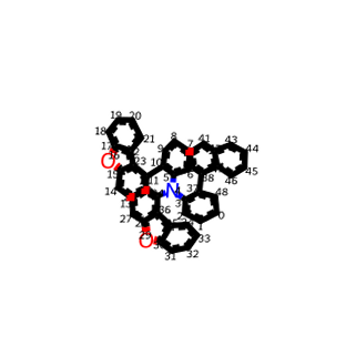 c1ccc(N(c2ccccc2-c2cccc3oc4ccccc4c23)c2cccc3oc4ccccc4c23)c(-c2cccc3ccccc23)c1